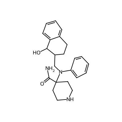 NC(=O)C1(N(CC2CCc3ccccc3C2O)c2ccccc2)CCNCC1